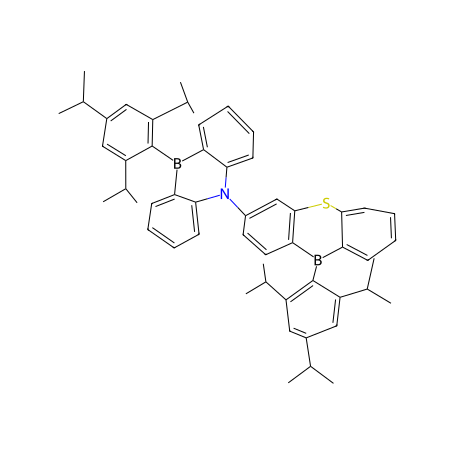 CC(C)c1cc(C(C)C)c(B2c3ccccc3Sc3cc(N4c5ccccc5B(c5c(C(C)C)cc(C(C)C)cc5C(C)C)c5ccccc54)ccc32)c(C(C)C)c1